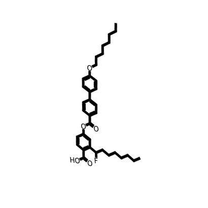 CCCCCCCCOc1ccc(-c2ccc(C(=O)Oc3ccc(C(=O)O)c(C(F)CCCCCCC)c3)cc2)cc1